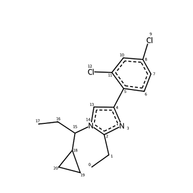 CCc1nc(-c2ccc(Cl)cc2Cl)cn1C(CC)C1CC1